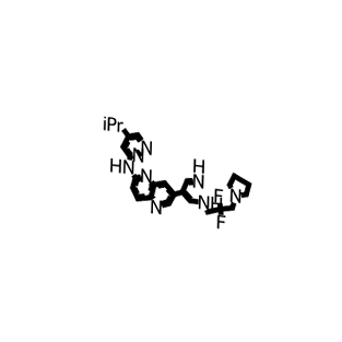 CC(C)c1cnnc(Nc2ccc3ncc(/C(C=N)=C/NCC(F)(F)CN4CCCC4)cc3n2)c1